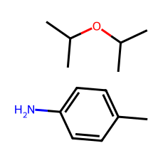 CC(C)OC(C)C.Cc1ccc(N)cc1